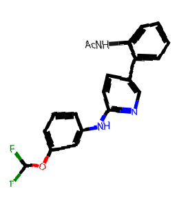 CC(=O)Nc1ccccc1-c1ccc(Nc2cccc(OC(F)F)c2)nc1